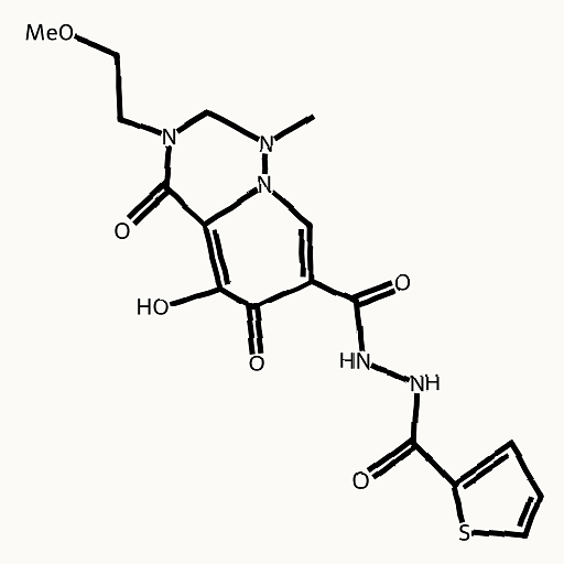 COCCN1CN(C)n2cc(C(=O)NNC(=O)c3cccs3)c(=O)c(O)c2C1=O